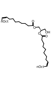 CCCCCCCC/C=C\CCCCCCCC(=O)OC[C@@H](CO)OC(=O)CCCCCCC/C=C\CCCCCCCC